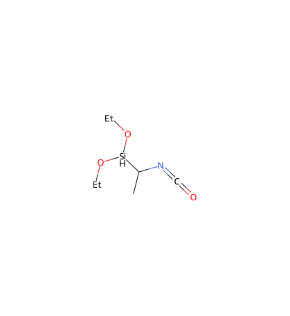 CCO[SiH](OCC)C(C)N=C=O